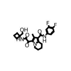 Cc1c(C(=O)Nc2ccc(F)c(F)c2)c2n(c1C(=O)C(=O)NC1(CO)CCC1)CCCC2